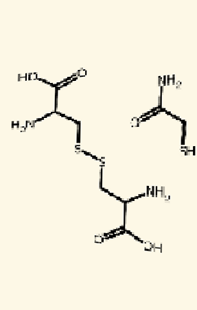 NC(=O)CS.NC(CSSCC(N)C(=O)O)C(=O)O